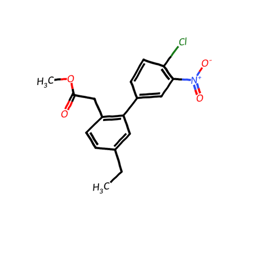 CCc1ccc(CC(=O)OC)c(-c2ccc(Cl)c([N+](=O)[O-])c2)c1